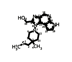 CSCC1(C)CCN(n2c(CO)nc3cnc4[nH]ccc4c32)CC1